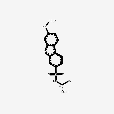 CCOC(=O)Nc1ccc2c(c1)sc1cc(S(=O)(=O)N[C@@H](C(=O)O)C(C)C)ccc12